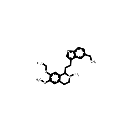 CCOc1cc2c(cc1OC)CCN(C)C2CCc1c[nH]c2ccc(CC)cc12